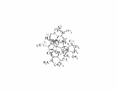 CC1=C(C)[C]([Ti+3])([Si](c2ccc(N(C)C)c(N(C)C)c2N(C)C)(c2ccc(N(C)C)c(N(C)C)c2N(C)C)c2ccc(N(C)C)c(N(C)C)c2N(C)C)C(C)=C1C.[Cl-].[Cl-].[Cl-]